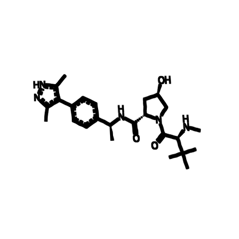 CN[C@H](C(=O)N1C[C@H](O)C[C@H]1C(=O)N[C@@H](C)c1ccc(-c2c(C)n[nH]c2C)cc1)C(C)(C)C